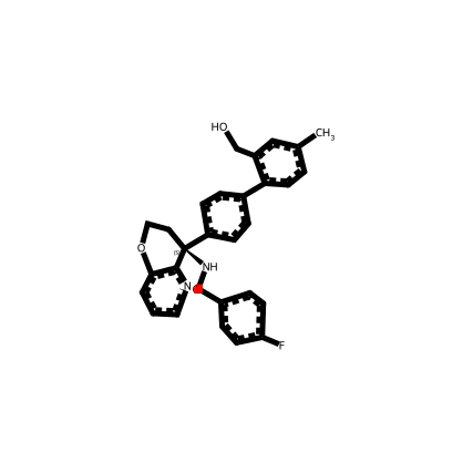 Cc1ccc(-c2ccc([C@@]3(NC(=O)c4ccc(F)cc4)CCOc4cccnc43)cc2)c(CO)c1